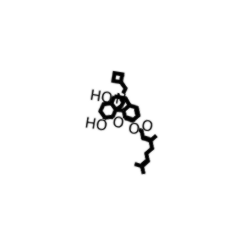 CC(C)=CCC/C(C)=C/C(=O)OC1=C2OC3C(O)CCC4(O)C5CC(C=C1)C2C34CCN5CC1CCC1